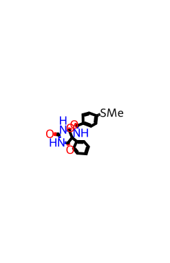 CSc1ccc(C(=O)NC2(c3ccccc3)C(=O)NC(=O)NC2=O)cc1